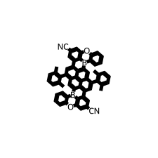 Cc1cccc(C)c1-c1cc2c3c(cc4c(-c5c(C)cccc5C)cc5c6c(cc1c3c46)B1c3ccccc3Oc3cc(C#N)cc-5c31)B1c3ccccc3Oc3cc(C#N)cc-2c31